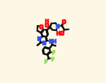 Cc1nc(NC(C)c2cccc(C(F)F)c2F)c2cc(C3(O)CCN(C(=O)C(C)O)CC3)c3c(c2n1)CCO3